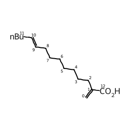 C=C(CCCCCCCC=CCCCC)C(=O)O